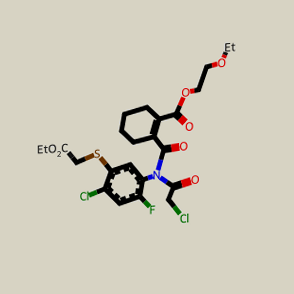 CCOCCOC(=O)C1=C(C(=O)N(C(=O)CCl)c2cc(SCC(=O)OCC)c(Cl)cc2F)CCCC1